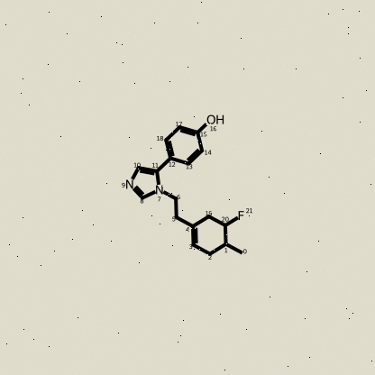 CC1CC=C(CCn2cncc2-c2ccc(O)cc2)CC1F